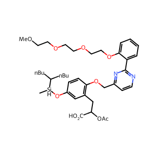 CCCCC(CCCC)[SiH](C)Oc1ccc(OCc2ccnc(-c3ccccc3OCCOCCOCCOC)n2)c(CC(OC(C)=O)C(=O)O)c1